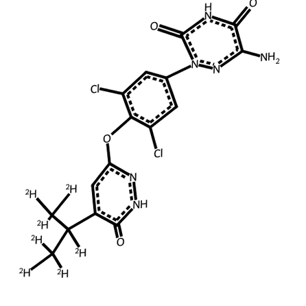 [2H]C([2H])([2H])C([2H])(c1cc(Oc2c(Cl)cc(-n3nc(N)c(=O)[nH]c3=O)cc2Cl)n[nH]c1=O)C([2H])([2H])[2H]